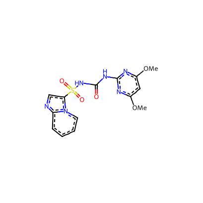 COc1cc(OC)nc(NC(=O)NS(=O)(=O)c2cnc3ccccn23)n1